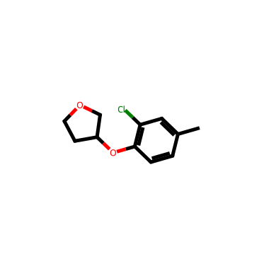 Cc1ccc(OC2CCOC2)c(Cl)c1